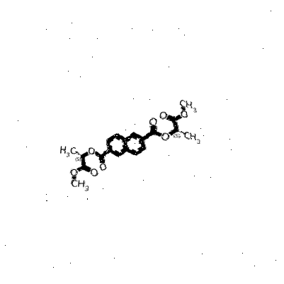 COC(=O)[C@H](C)OC(=O)c1ccc2cc(C(=O)O[C@@H](C)C(=O)OC)ccc2c1